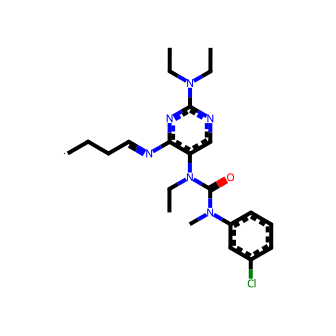 [CH2]CCC=Nc1nc(N(CC)CC)ncc1N(CC)C(=O)N(C)c1cccc(Cl)c1